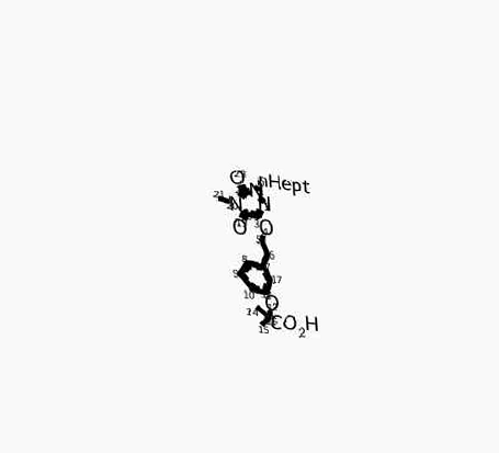 CCCCCCCn1nc(OCCc2cccc(OC(C)(C)C(=O)O)c2)c(=O)n(C)c1=O